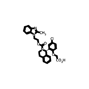 Cc1nc2ccccc2n1CCOC(=O)N1CCc2ccccc2[C@H]1c1cc(Cl)ccc1OCC(=O)O